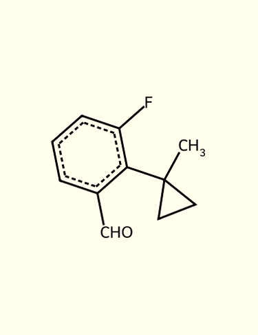 CC1(c2c(F)cccc2C=O)CC1